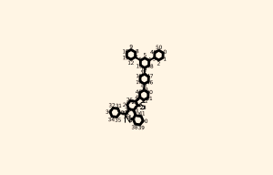 c1ccc(-c2cc(-c3ccccc3)cc(-c3ccc(-c4ccc5sc6c(ccc7c(-c8ccccc8)nc8ccccc8c76)c5c4)cc3)c2)cc1